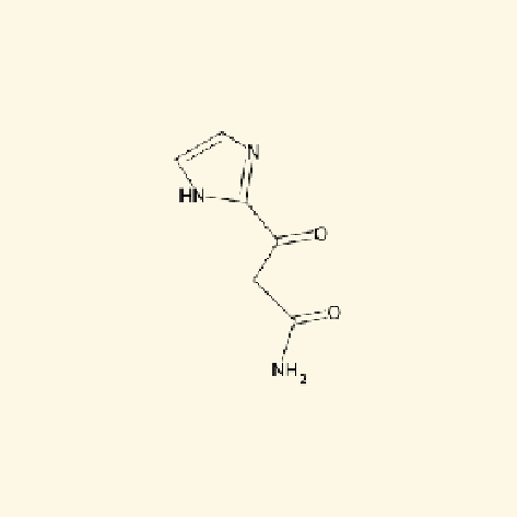 NC(=O)CC(=O)c1ncc[nH]1